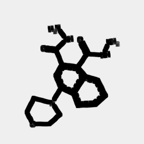 NNC(=O)c1cc(N2CCOCC2)c2ccccc2c1C(=O)NN